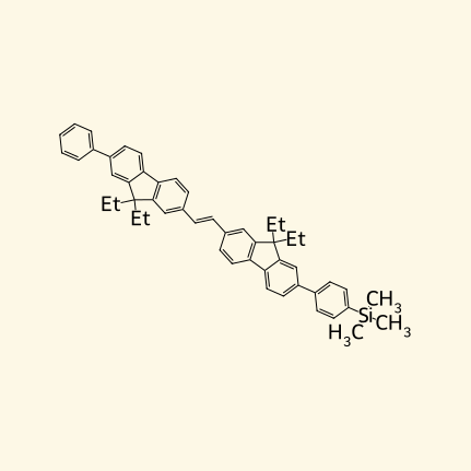 CCC1(CC)c2cc(/C=C/c3ccc4c(c3)C(CC)(CC)c3cc(-c5ccc([Si](C)(C)C)cc5)ccc3-4)ccc2-c2ccc(-c3ccccc3)cc21